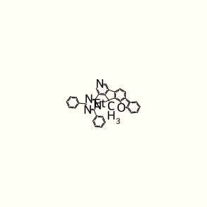 CCC1(C)c2c(-c3nc(-c4ccccc4)nc(-c4ccccc4)n3)cncc2-c2ccc3c(oc4ccccc43)c21